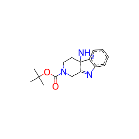 CC(C)(C)OC(=O)N1CCC2(N)C(=Nc3ccccc32)C1